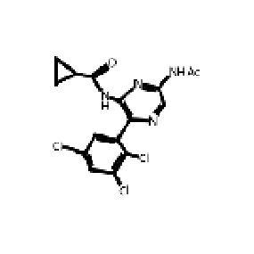 CC(=O)Nc1cnc(-c2cc(Cl)cc(Cl)c2Cl)c(NC(=O)C2CC2)n1